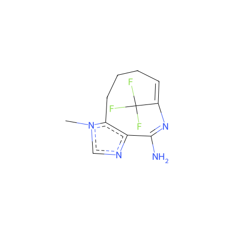 Cn1cnc2c1CCC/C=C(C(F)(F)F)/N=C\2N